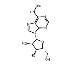 CCC(C)Nc1ncnc2c1ncn2[C@@H]1O[C@H](CO)[C@@H](O)[C@H]1O